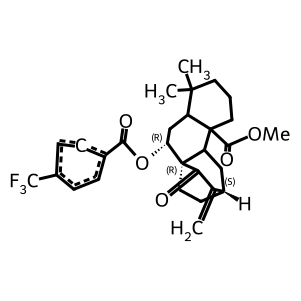 C=C1C(=O)[C@]23CC[C@H]1CC2C1(C(=O)OC)CCCC(C)(C)C1C[C@H]3OC(=O)c1ccc(C(F)(F)F)cc1